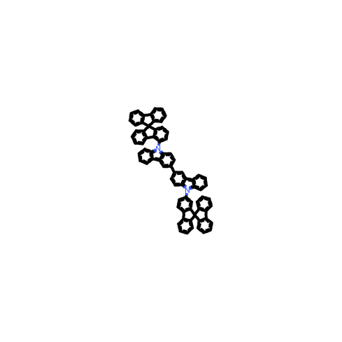 c1ccc2c(c1)-c1ccccc1C21c2ccccc2-c2ccc(-n3c4ccccc4c4cc(-c5ccc6c(c5)c5ccccc5n6-c5cccc6c5-c5ccccc5C65c6ccccc6-c6ccccc65)ccc43)cc21